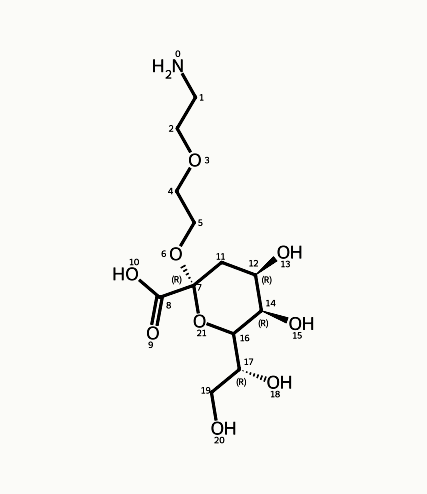 NCCOCCO[C@]1(C(=O)O)C[C@@H](O)[C@@H](O)C([C@H](O)CO)O1